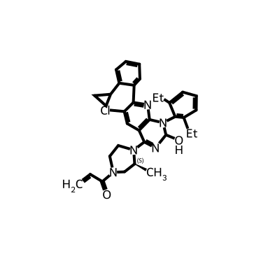 C=CC(=O)N1CCN(C2=NC(O)N(c3c(CC)cccc3CC)c3nc(-c4ccccc4C4CC4)c(Cl)cc32)[C@@H](C)C1